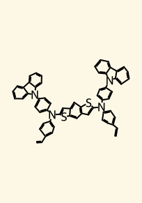 C=Cc1ccc(N(c2ccc(-n3c4ccccc4c4ccccc43)cc2)c2cc3cc4sc(N(c5ccc(C=C)cc5)c5ccc(-n6c7ccccc7c7ccccc76)cc5)cc4cc3s2)cc1